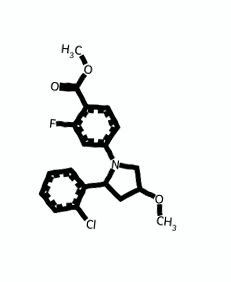 COC(=O)c1ccc(N2CC(OC)CC2c2ccccc2Cl)cc1F